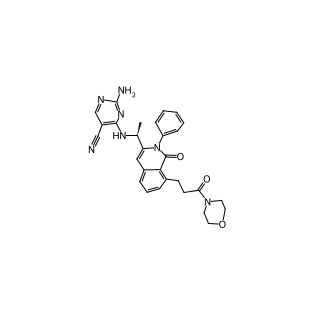 C[C@H](Nc1nc(N)ncc1C#N)c1cc2cccc(CCC(=O)N3CCOCC3)c2c(=O)n1-c1ccccc1